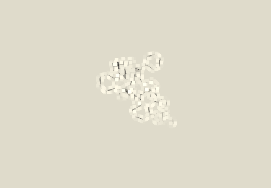 CCc1ccccc1NC(=O)N(C1CCn2c1nc1cccc(C(F)(F)F)c1c2=O)[C@@H](C)c1ccccc1